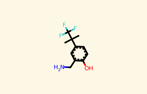 CC(C)(c1ccc(O)c(CN)c1)C(F)(F)F